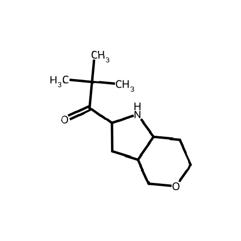 CC(C)(C)C(=O)C1CC2COCCC2N1